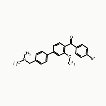 COc1cc(-c2ccc(CN(C)C)cc2)ccc1C(=O)c1ccc(Br)cc1